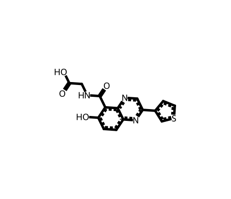 O=C(O)CNC(=O)c1c(O)ccc2nc(-c3ccsc3)cnc12